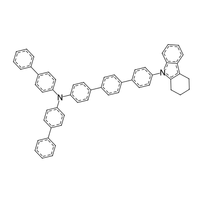 c1ccc(-c2ccc(N(c3ccc(-c4ccccc4)cc3)c3ccc(-c4ccc(-c5ccc(-n6c7c(c8ccccc86)CCCC7)cc5)cc4)cc3)cc2)cc1